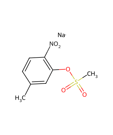 Cc1ccc([N+](=O)[O-])c(OS(C)(=O)=O)c1.[Na]